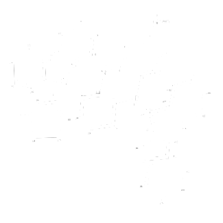 CCCCCc1cc2c3c(c1)N1c4ccccc4C(c4ccccc4)(c4ccccc4)c4cccc(c41)B3n1c3sc4ccccc4c3c3cccc-2c31